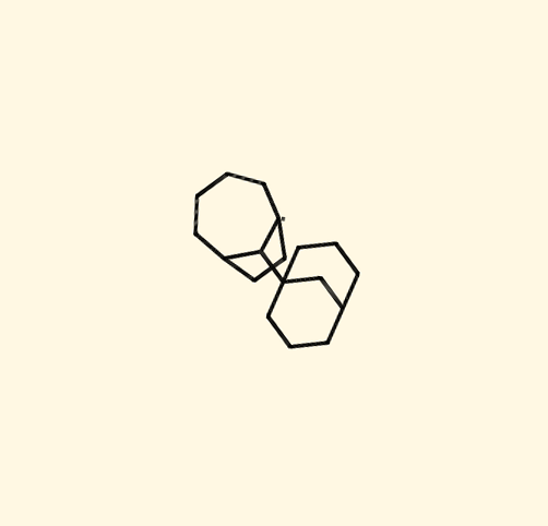 C1CCC2CC[C](C1)C2C12CCCC(CCC1)C2